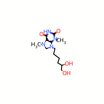 CN1CN(CCCCC(O)CO)c2c1c(=O)[nH]c(=O)n2C